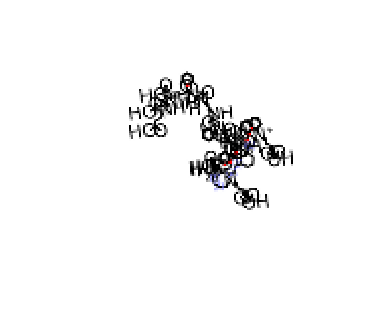 C=C1/C=C\C=C/CN(CCCS(=O)(=O)O)/C(=C/C=C2\CCCC(/C=C/C3=[N+](CCCS(=O)(=O)O)c4ccccc4C3(C)C)=C2Oc2ccc(S(=O)(=O)O)cc2)C1(C)CCCC(=O)N[C@@H](Cc1ccccc1)C(=O)N[C@@H](Cc1ccccc1)C(=O)NCC(=O)NCCNC(=O)[C@H](Cc1ccccc1)NC(=O)CC[C@H](NC(=O)N[C@@H](CCC(=O)O)C(=O)O)C(=O)O